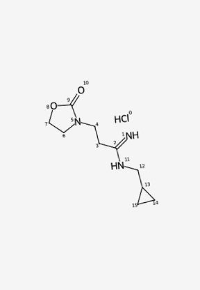 Cl.N=C(CCN1CCOC1=O)NCC1CC1